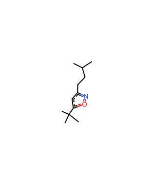 CC(C)CCc1cc(C(C)(C)C)on1